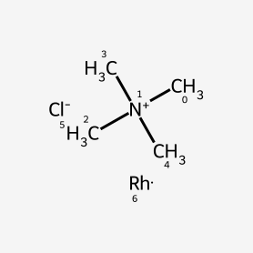 C[N+](C)(C)C.[Cl-].[Rh]